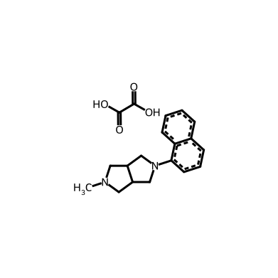 CN1CC2CN(c3cccc4ccccc34)CC2C1.O=C(O)C(=O)O